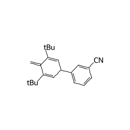 C=C1C(C(C)(C)C)=CC(c2cccc(C#N)c2)C=C1C(C)(C)C